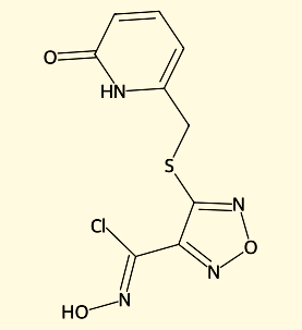 O=c1cccc(CSc2nonc2C(Cl)=NO)[nH]1